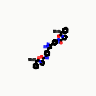 CO[C@H](C(=O)N1CCC[C@H]1C(=O)Nc1ccc(-c2cc(-c3ccc(NC(=O)[C@@H]4CCCN4C(=O)[C@@H](OC)c4ccccc4)cc3)[nH]n2)cc1)c1ccccc1